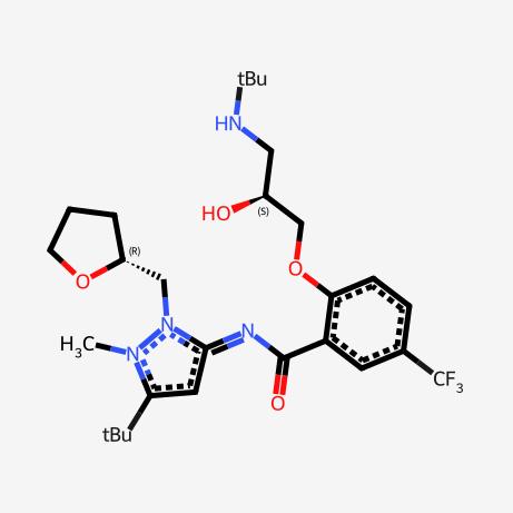 Cn1c(C(C)(C)C)cc(=NC(=O)c2cc(C(F)(F)F)ccc2OC[C@@H](O)CNC(C)(C)C)n1C[C@H]1CCCO1